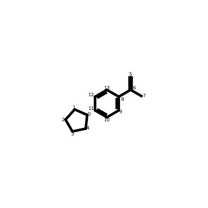 C1CCCC1.C=C(C)c1ccccc1